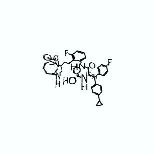 O=C(O)N[C@H](C(=O)Nc1cccc(F)c1CCC1CNC2CCCS(=O)(=O)N1C2)[C@@H](c1ccc(F)cc1)c1ccc(C2CC2)cc1